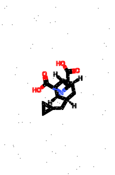 O=C(O)[C@@H]1[C@@H]2CC[C@@H]([C@H](CC3CC3)C2)N1C(=O)O